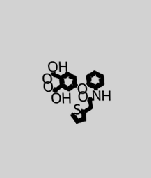 O=C(Cc1cccs1)Nc1ccccc1Oc1ccc(C(=O)O)c(C(=O)O)c1